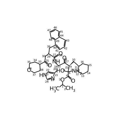 CC(C)OC(=O)C(N)(O)[C@H](CC1CCCCC1)C(=O)[C@H](Cc1c[nH]cn1)NC(=O)C(CC(=O)C1CCOCC1)Cc1cccc2ccccc12